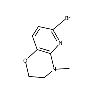 CN1CCOc2ccc(Br)nc21